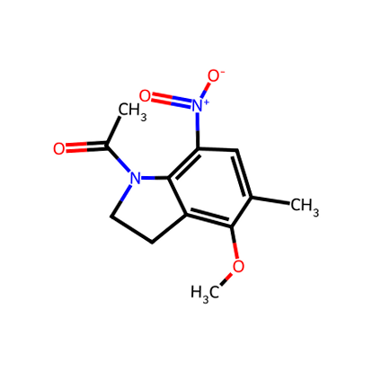 COc1c(C)cc([N+](=O)[O-])c2c1CCN2C(C)=O